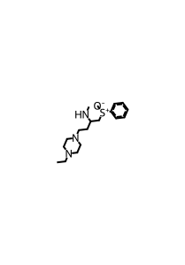 CCN1CCN(CCC(C[S+]([O-])c2ccccc2)NC)CC1